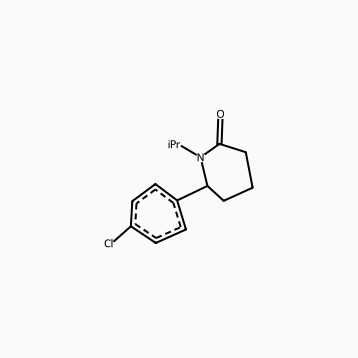 CC(C)N1C(=O)CCCC1c1ccc(Cl)cc1